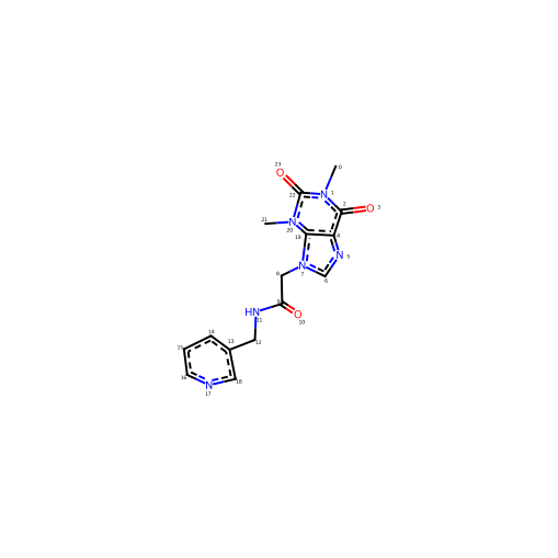 Cn1c(=O)c2ncn(CC(=O)NCc3cccnc3)c2n(C)c1=O